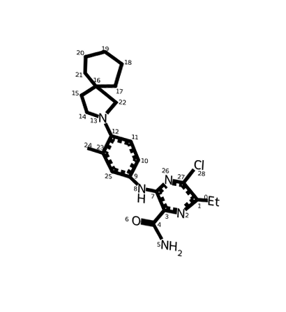 CCc1nc(C(N)=O)c(Nc2ccc(N3CCC4(CCCCC4)C3)c(C)c2)nc1Cl